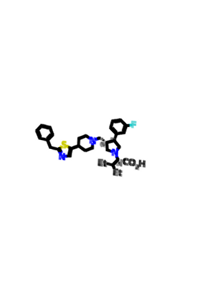 CCC(CC)[C@@H](C(=O)O)N1C[C@H](CN2CCC(c3cnc(Cc4ccccc4)s3)CC2)[C@@H](c2cccc(F)c2)C1